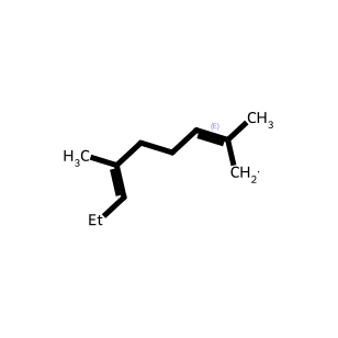 [CH2]/C(C)=C\CCC(C)=CCC